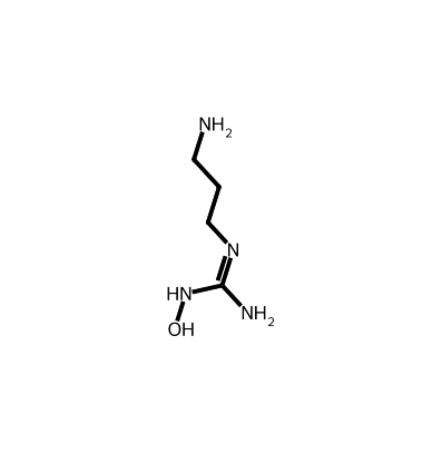 NCCCN=C(N)NO